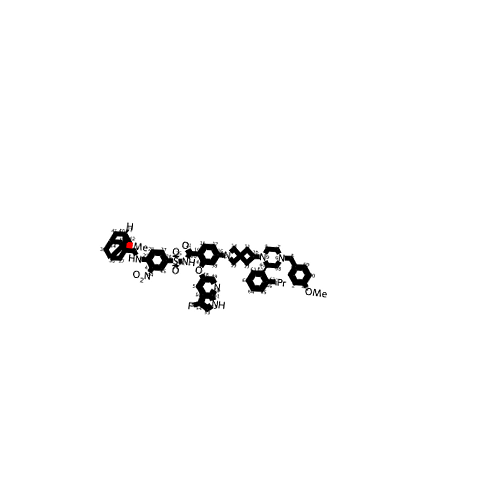 COc1ccc(CN2CCN(C3CC4(C3)CN(c3ccc(C(=O)NS(=O)(=O)c5ccc(NCC67CC8CC(C6)C(OC)[C@H](C8)C7)c([N+](=O)[O-])c5)c(Oc5cnc6[nH]cc(F)c6c5)c3)C4)[C@H](c3ccccc3C(C)C)C2)cc1